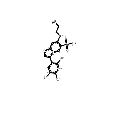 CC(C)(C)S(=O)(=O)c1cn2c(-c3cc(Br)c(N)nc3F)cnc2cc1OCCO